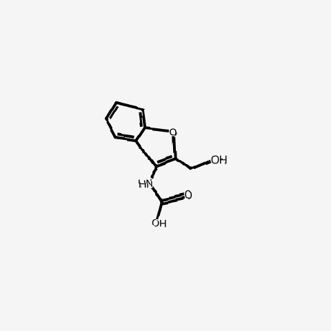 O=C(O)Nc1c(CO)oc2ccccc12